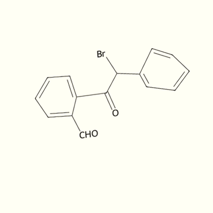 O=Cc1ccccc1C(=O)C(Br)c1ccccc1